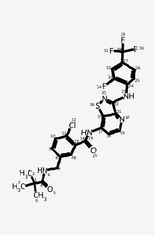 CC(C)(C)C(=O)NCc1ccc(Cl)c(C(=O)Nc2ccnc3c(Nc4ccc(C(F)(F)F)cc4F)nsc23)c1